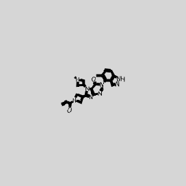 C=CC(=O)N1CC(c2nc3ncn(-c4c(C)ccc5[nH]ncc45)c(=O)c3n2C2CN(C)C2)C1